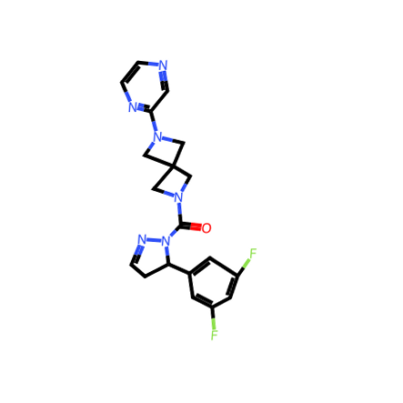 O=C(N1CC2(C1)CN(c1cnccn1)C2)N1N=CCC1c1cc(F)cc(F)c1